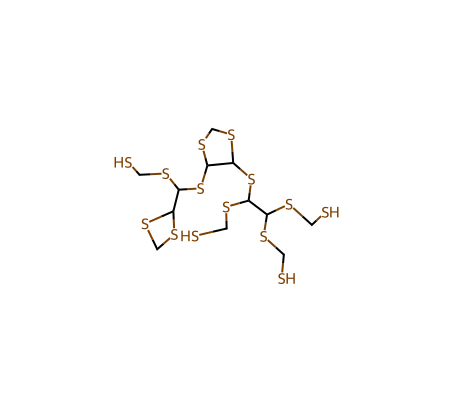 SCSC(SCS)C(SCS)SC1SCSC1SC(SCS)C1SCS1